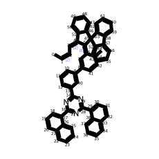 C\C=C/C=C1\C(=C2/C=C(c3cccc(-c4nc(-c5cccc6ccccc56)nc(-c5cccc6ccccc56)n4)c3)C=CC2C)C2(c3ccccc31)c1ccccc1-c1ccccc12